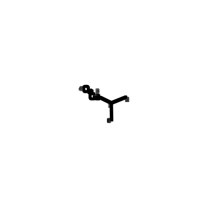 C[CH](C)[Ga]=[O]